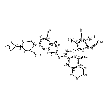 CC1CN(C2COC2)CCN1c1cc(NC(=O)Cn2cc(-c3cc(C=O)c(O)c(F)c3F)c3c(=O)n4c(nc32)CCCC4)c(Cl)c(F)n1